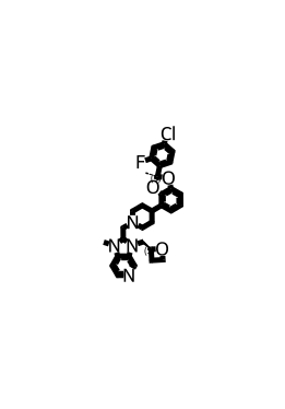 CN1c2ccncc2N(C[C@@H]2CCO2)C1CN1CCC(c2cccc3c2O[C@@](C)(c2ccc(Cl)cc2F)O3)CC1